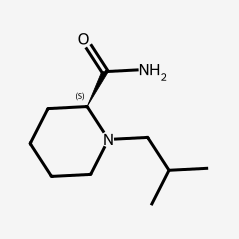 CC(C)CN1CCCC[C@H]1C(N)=O